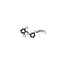 NCCOc1cccc(OCc2c(Cl)cccc2Cl)c1